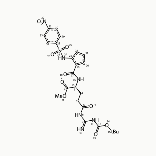 COC(=O)[C@H](CCC(=O)NC(=N)NC(=O)OC(C)(C)C)NC(=O)c1sccc1NS(=O)(=O)c1ccc([N+](=O)[O-])cc1